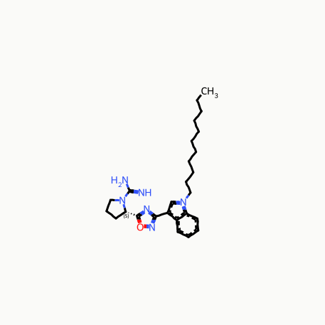 CCCCCCCCCCCn1cc(-c2noc([C@@H]3CCCN3C(=N)N)n2)c2ccccc21